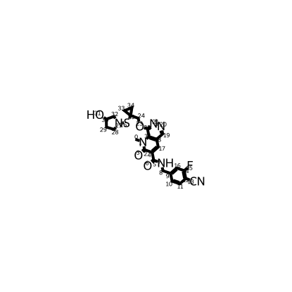 Cn1c(=O)c(C(=O)NCc2ccc(C#N)c(F)c2)cc2cnnc(OCC3(SN4CCC(O)C4)CC3)c21